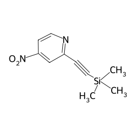 C[Si](C)(C)C#Cc1cc([N+](=O)[O-])ccn1